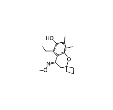 CCc1c(O)c(C)c(C)c2c1/C(=N/OC)CC1(CCC1)O2